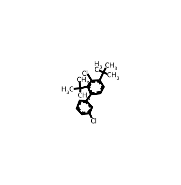 CC(C)(C)c1ccc(-c2cccc(Cl)c2)c(C(C)(C)C)c1Cl